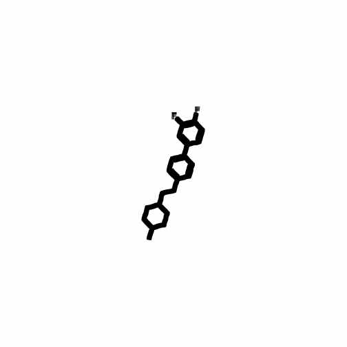 CC1CCC(CCc2ccc(-c3ccc(F)c(F)c3)cc2)CC1